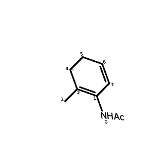 CC(=O)NC1=C(C)[CH]CC=C1